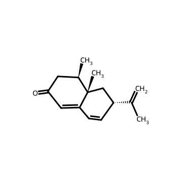 C=C(C)[C@@H]1C=CC2=CC(=O)C[C@@H](C)[C@]2(C)C1